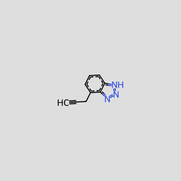 C#CCc1cccc2[nH]nnc12